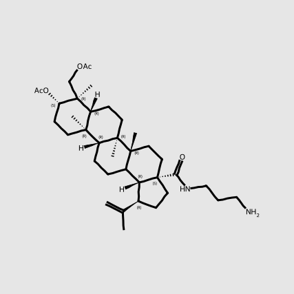 C=C(C)[C@@H]1CC[C@]2(C(=O)NCCCN)CC[C@]3(C)C(CC[C@@H]4[C@@]5(C)CC[C@H](OC(C)=O)[C@@](C)(COC(C)=O)[C@@H]5CC[C@]43C)[C@@H]12